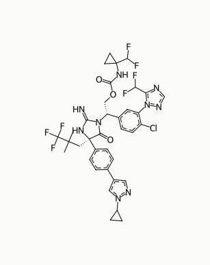 CC(C)(C[C@]1(c2ccc(-c3cnn(C4CC4)c3)cc2)NC(=N)N([C@H](COC(=O)NC2(C(F)F)CC2)c2ccc(Cl)c(-n3ncnc3C(F)F)c2)C1=O)C(F)(F)F